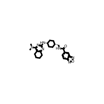 CN(C)c1nc(N[C@H]2CC[C@@H](CNC(=O)c3ccc4nonc4c3)CC2)nc2c1CCCC2